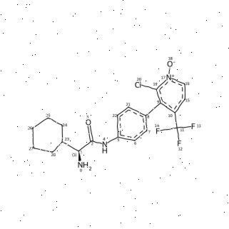 N[C@H](C(=O)Nc1ccc(-c2c(C(F)(F)F)cc[n+]([O-])c2Cl)cc1)C1CCCCC1